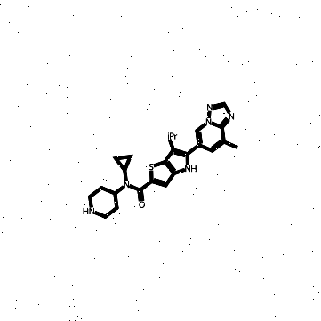 Cc1cc(-c2[nH]c3cc(C(=O)N(C4CCNCC4)C4CC4)sc3c2C(C)C)cn2ncnc12